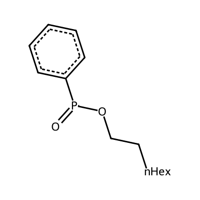 CCCCCCCCO[P](=O)c1ccccc1